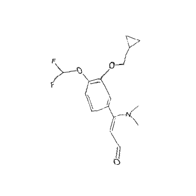 CN(C)C(=CC=O)c1ccc(OC(F)F)c(OCC2CC2)c1